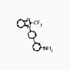 Nc1cccc(-c2ccc(-n3c(C(F)(F)F)nc4ccccc43)cc2)c1